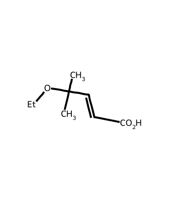 CCOC(C)(C)C=CC(=O)O